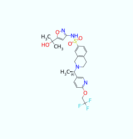 C[C@H](c1ccc(OCC(F)(F)F)nc1)N1CCc2ccc(S(=O)(=O)Nc3cc(C(C)(C)O)on3)cc2C1